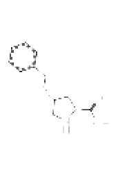 Cl.O=C(O)[C@@H]1CC(OCc2ccccc2)CN1